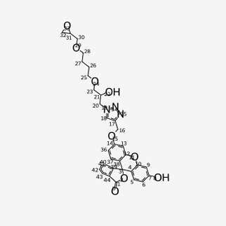 O=C1OC2(c3ccc(O)cc3Oc3cc(OCc4cn(CC(O)COCCCCOCC5CO5)nn4)ccc32)c2ccccc21